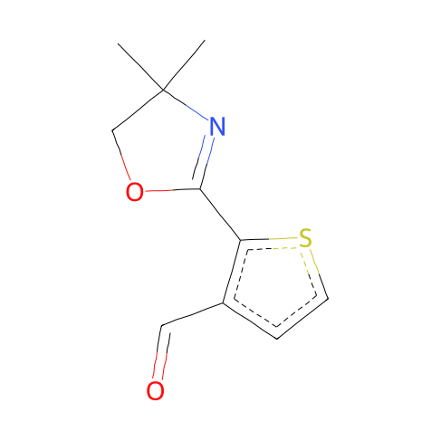 CC1(C)COC(c2sccc2C=O)=N1